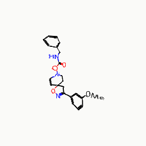 COc1cccc(C2=NOC3(CCN(OC(=O)NCc4ccccc4)CC3)C2)c1